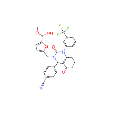 COC(O)c1ccc(CN2C(=O)N(c3cccc(C(F)(F)F)c3)C3=C(C(=O)CCC3)C2c2ccc(C#N)cc2)o1